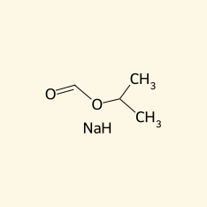 CC(C)OC=O.[NaH]